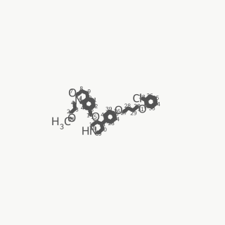 COCCCN1C(=O)CCc2ccc(COC3CNCCC3c3ccc(OCCCCOc4ccccc4Cl)cc3)cc21